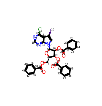 O=C(OC[C@H]1O[C@@H](n2cc(I)c3c(Cl)ncnc32)C(OC(=O)c2ccccc2)[C@H]1OC(=O)c1ccccc1)c1ccccc1